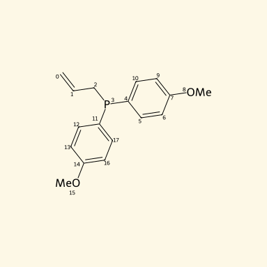 C=CCP(c1ccc(OC)cc1)c1ccc(OC)cc1